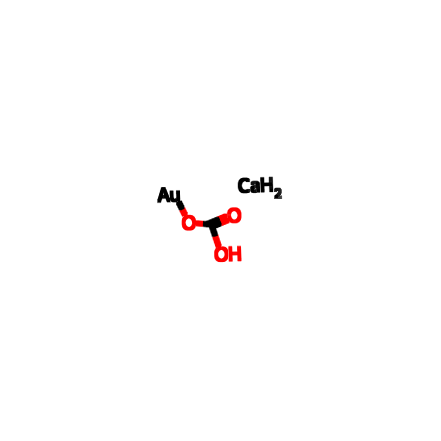 O=C(O)[O][Au].[CaH2]